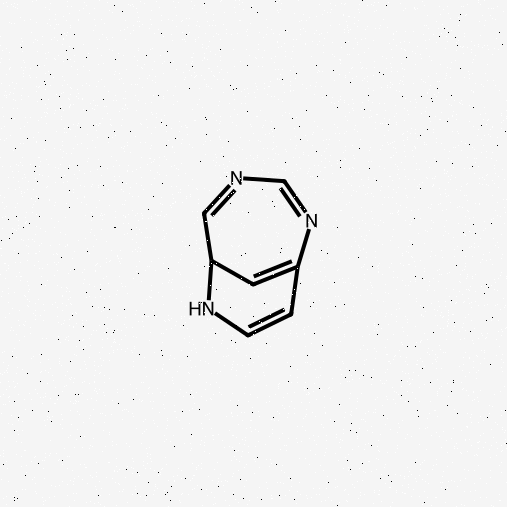 C1=CC2=CC(C=NC=N2)N1